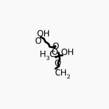 C=CCOCC(CC)(CO)COC(=O)CCCCC(=O)O